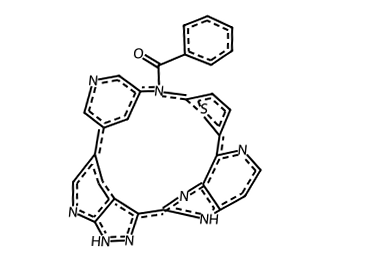 O=C(c1ccccc1)n1c2cncc(c2)c2cnc3[nH]nc(c4nc5c(ccnc5c5ccc1s5)[nH]4)c3c2